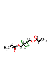 C=CC(=O)OCC(F)(F)C(F)(F)COC(=O)C=C